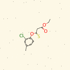 CCOC(=O)CC(=S)Oc1ccc(C)cc1Cl